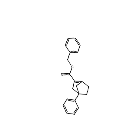 O=C(OCc1ccccc1)C1=C2CCC(c3ccccc3)(C2)C1